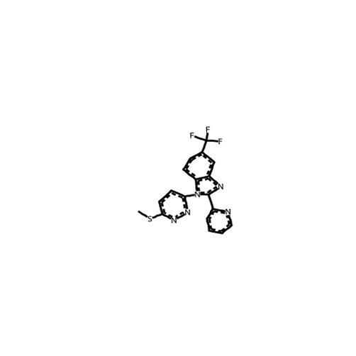 CSc1ccc(-n2c(-c3ccccn3)nc3cc(C(F)(F)F)ccc32)nn1